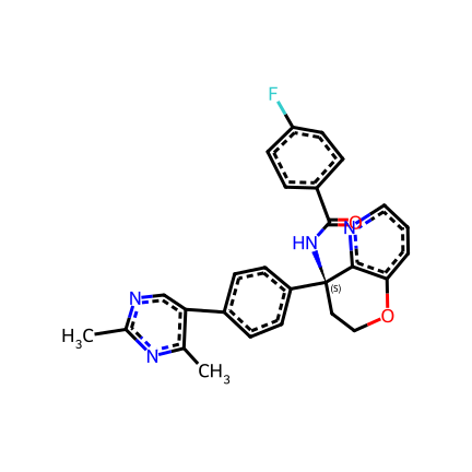 Cc1ncc(-c2ccc([C@@]3(NC(=O)c4ccc(F)cc4)CCOc4cccnc43)cc2)c(C)n1